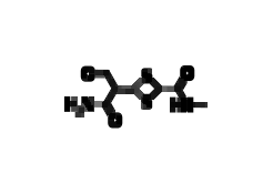 CNC(=O)C1SC(=C(C=O)C(N)=O)S1